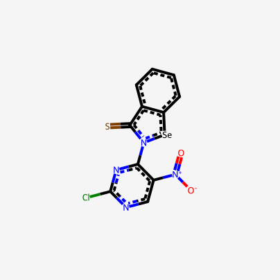 O=[N+]([O-])c1cnc(Cl)nc1-n1[se]c2ccccc2c1=S